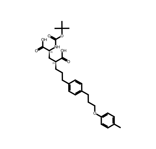 Cc1ccc(OCCCc2ccc(CCC[C@@H](C[C@H](NC(=O)OC(C)(C)C)C(=O)O)C(=O)O)cc2)cc1